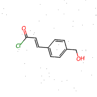 O=C(Cl)/C=C/c1ccc(CO)cc1